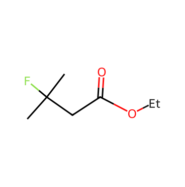 CCOC(=O)CC(C)(C)F